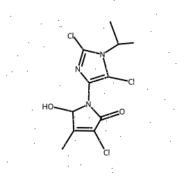 CC1=C(Cl)C(=O)N(c2nc(Cl)n(C(C)C)c2Cl)C1O